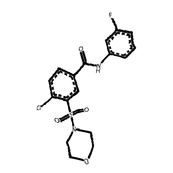 O=C(Nc1cccc(F)c1)c1ccc(Cl)c(S(=O)(=O)N2CCOCC2)c1